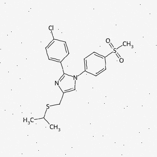 CC(C)SCc1cn(-c2ccc(S(C)(=O)=O)cc2)c(-c2ccc(Cl)cc2)n1